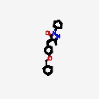 CC1=NN(c2ccccc2)C(=O)/C1=C/c1ccc(OCc2ccccc2)cc1